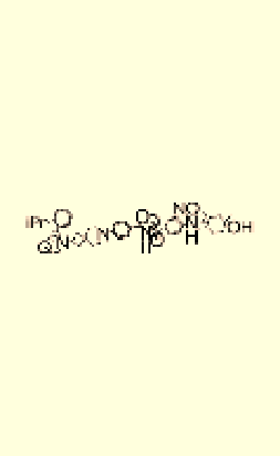 CC(C)c1ccccc1[C@@H]1COCCN1C1CC2(CCN(c3ccc(C(=O)NS(=O)(=O)c4ccc(NCC5CCC(C)(O)CC5)c([N+](=O)[O-])c4)cc3)CC2)C1